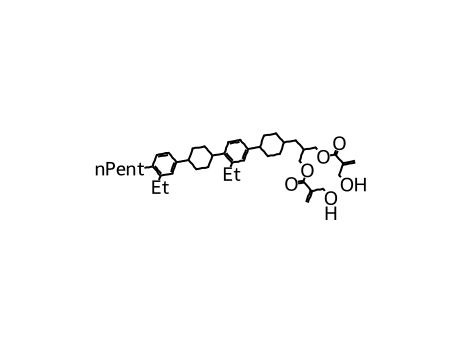 C=C(CO)C(=O)OCC(COC(=O)C(=C)CO)CC1CCC(c2ccc(C3CCC(c4ccc(CCCCC)c(CC)c4)CC3)c(CC)c2)CC1